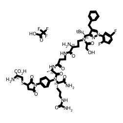 C[C@H](NC(=O)CCNC(=O)[C@@H](N)CCN(C(=O)CO)[C@@H](c1nn(-c2cc(F)ccc2F)cc1Cc1ccccc1)C(C)(C)C)C(=O)N(c1ccc(N2C(=O)CC(SC[C@H](N)C(=O)O)C2=O)cc1)[C@@H](CCCNC(N)=O)C(N)=O.O=C(O)C(F)(F)F